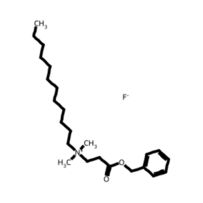 CCCCCCCCCCCC[N+](C)(C)CCC(=O)OCc1ccccc1.[F-]